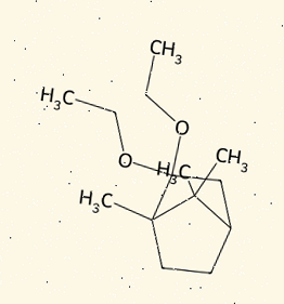 CCOC1(OCC)CC2CCC1(C)C2(C)C